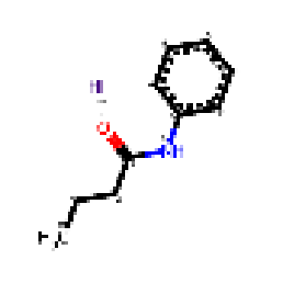 CCCC(=O)Nc1ccccc1.I